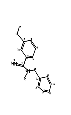 CCc1cccc(C(=N)N(C)Cc2ccccc2)c1